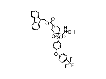 O=C(OCC1c2ccccc2-c2ccccc21)N1CCC(C(=O)NO)(S(=O)(=O)c2ccc(Oc3ccc(C(F)(F)F)cc3)cc2)CC1